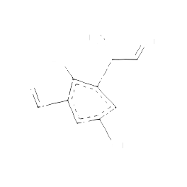 C=C[C@@H](N)c1cc(C)cc(C=O)c1O